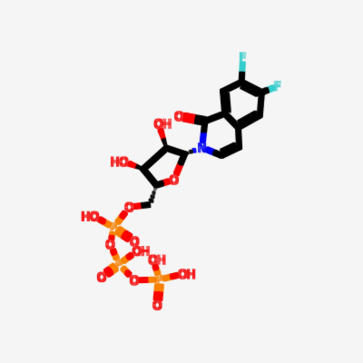 O=c1c2cc(F)c(F)cc2ccn1[C@@H]1O[C@H](COP(=O)(O)OP(=O)(O)OP(=O)(O)O)[C@@H](O)[C@H]1O